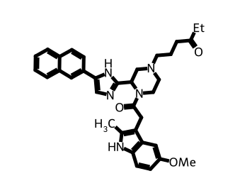 CCC(=O)CCCN1CCN(C(=O)Cc2c(C)[nH]c3ccc(OC)cc23)C(c2ncc(-c3ccc4ccccc4c3)[nH]2)C1